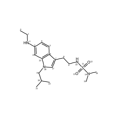 CCNc1ccc2c(CCNS(=O)(=O)N(C)C)cn(CC(C)C)c2c1